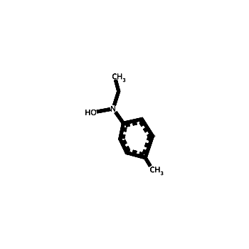 CCN(O)c1c[c]c(C)cc1